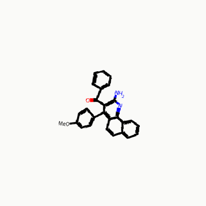 COc1ccc(-c2c(C(=O)c3ccccc3)c(N)nc3c2ccc2ccccc23)cc1